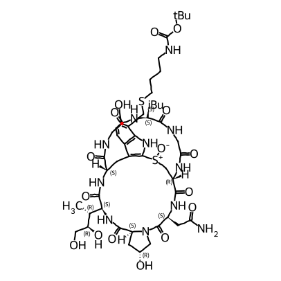 CC[C@H](C)[C@@H]1NC(=O)CNC(=O)[C@@H]2Cc3c([nH]c4c(CSCCCCNC(=O)OC(C)(C)C)c(O)ccc34)[S+]([O-])C[C@H](NC(=O)CNC1=O)C(=O)N[C@@H](CC(N)=O)C(=O)N1C[C@H](O)C[C@H]1C(=O)N[C@@H]([C@@H](C)[C@@H](O)CO)C(=O)N2